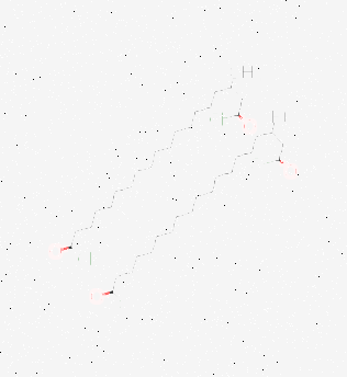 CC(CCCCCCCCCCCCCCCC(=O)Cl)CC(=O)Cl.CCC(CCCCCCCCCCCCCCCC(=O)Cl)CC(=O)Cl